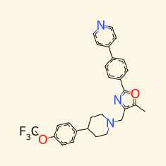 Cc1oc(-c2ccc(-c3ccncc3)cc2)nc1CN1CCC(c2ccc(OC(F)(F)F)cc2)CC1